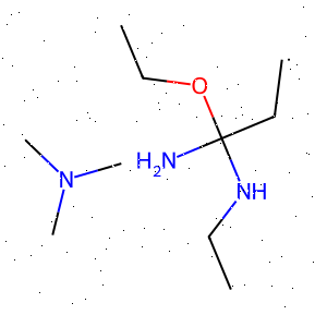 CN(C)C.[CH2]CC(N)(NCC)OCC